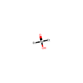 CC[As](=O)(O)CC